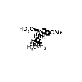 CC[Si](C)(C)c1c(F)cc(NC(=O)[C@H]2c3ccc(OC)cc3CCN2C(=O)CCCC(=O)O)cc1F